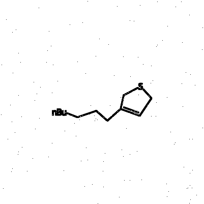 CCCCCCCC1=CCSC1